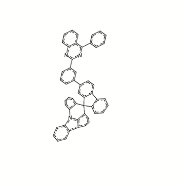 c1ccc(-c2nc(-c3cccc(-c4ccc5c(c4)C4(c6ccccc6-5)c5ccccc5-n5c6ccccc6c6cccc4c65)c3)nc3ccccc23)cc1